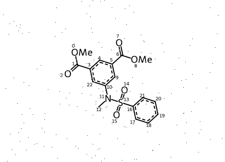 COC(=O)c1cc(C(=O)OC)cc(N(C)S(=O)(=O)c2ccccc2)c1